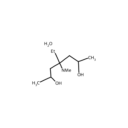 CCC(CC(C)O)(CC(C)O)NC.O